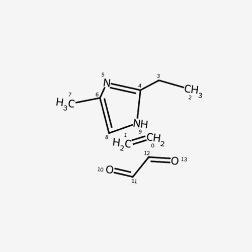 C=C.CCc1nc(C)c[nH]1.O=CC=O